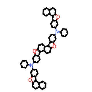 c1ccc(N(c2ccc3c(c2)oc2ccc4ccccc4c23)c2ccc3c(c2)oc2ccc4c(ccc5oc6cc(N(c7ccccc7)c7ccc8c(c7)oc7ccc9ccccc9c78)ccc6c54)c23)cc1